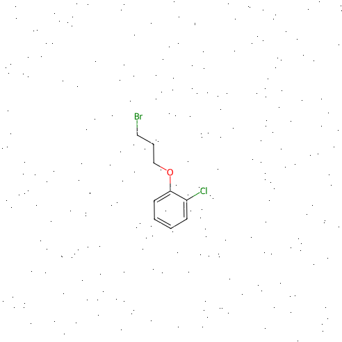 Clc1ccccc1OCCCBr